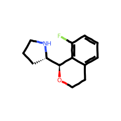 Fc1cccc2c1[C@H]([C@@H]1CCCN1)OCC2